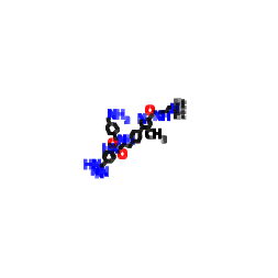 CCN(CC)CCCNC(=O)c1cc(C)c(-c2ccc(C[C@H](NC(=O)C3CCC(CN)CC3)C(=O)Nc3ccc(-c4nnn[nH]4)cc3)cc2)cn1